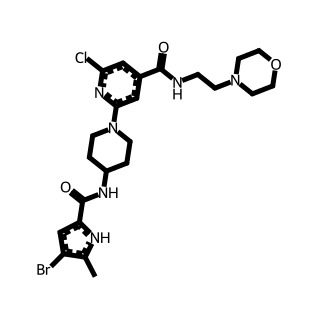 Cc1[nH]c(C(=O)NC2CCN(c3cc(C(=O)NCCN4CCOCC4)cc(Cl)n3)CC2)cc1Br